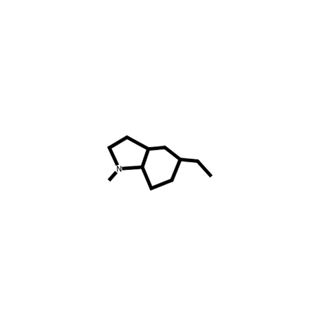 CCC1CCC2C(CCN2C)C1